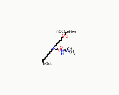 CCCCCCCC/C=C\CCCCCCCCN(CCCCCCCCOC(=O)C(CCCCCC)CCCCCCCC)CCOC(=O)NCCN(C)C